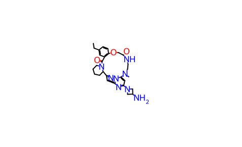 CCc1ccc2c(c1)C(=O)N1CCCCC1c1cc3nc(N4CC(N)C4)cc(n3n1)N(C)CCNC(=O)CO2